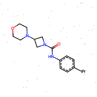 CC(C)c1ccc(NC(=O)N2CC(N3CCOCC3)C2)cc1